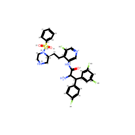 NC(C(=O)Nc1cncc(F)c1CC[C@H]1CNCCN1S(=O)(=O)c1ccccc1)C(c1ccc(F)cc1)c1cc(F)cc(F)c1